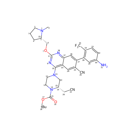 CN1CCC[C@H]1COc1nc(N2CCN(C(=O)OC(C)(C)C)[C@@H](CC#N)C2)c2cc(C#N)c(-c3cc(N)ccc3C(F)(F)F)cc2n1